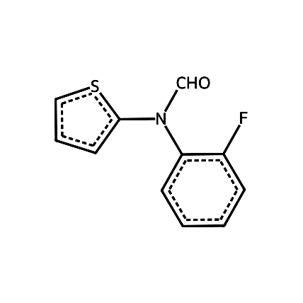 O=CN(c1cccs1)c1ccccc1F